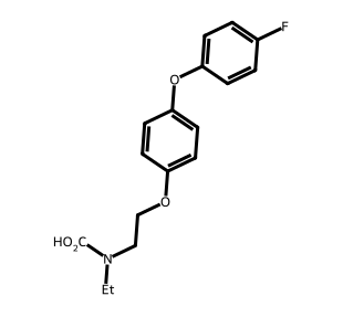 CCN(CCOc1ccc(Oc2ccc(F)cc2)cc1)C(=O)O